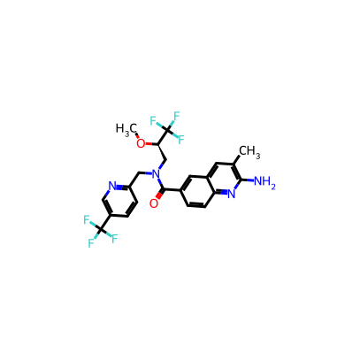 CO[C@H](CN(Cc1ccc(C(F)(F)F)cn1)C(=O)c1ccc2nc(N)c(C)cc2c1)C(F)(F)F